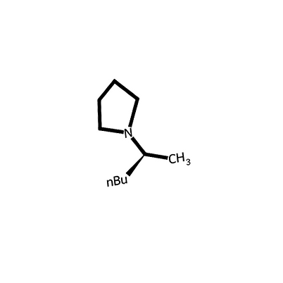 CCCC[C@H](C)N1CCCC1